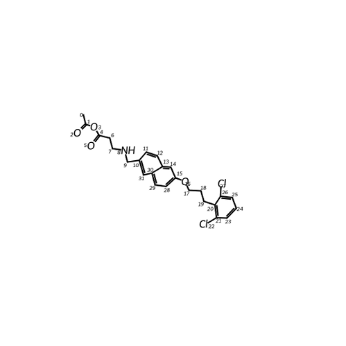 CC(=O)OC(=O)CCNCc1ccc2cc(OCCCc3c(Cl)cccc3Cl)ccc2c1